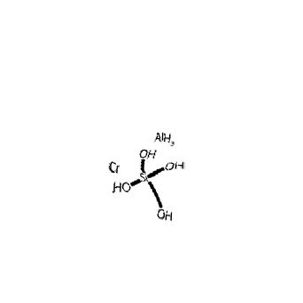 O[Si](O)(O)O.[AlH3].[Cr]